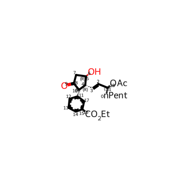 CCCCC[C@@H](C=C[C@H]1[C@H](O)CC(=O)[C@H]1c1cccc(C(=O)OCC)c1)OC(C)=O